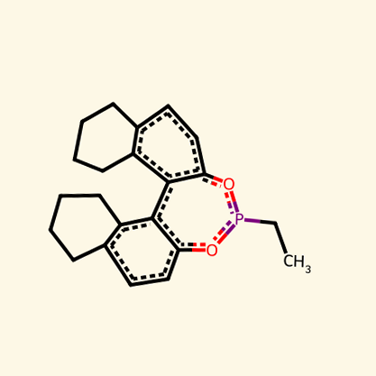 CCp1oc2ccc3c(c2c2c4c(ccc2o1)CCCC4)CCCC3